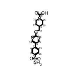 NS(=O)(=O)c1ccc(-c2cnc(OCC3CCN(C(=O)O)CC3)nc2)cc1